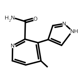 Cc1ccnc(C(N)=O)c1-c1cn[nH]c1